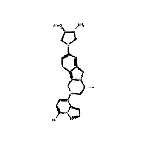 CO[C@@H]1CN(C2=CCC3=C4CN(c5ccc(C#N)n6nccc56)C[C@@H](C)N4CC3=C2)C[C@H]1N